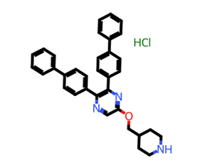 Cl.c1ccc(-c2ccc(-c3ncc(OCC4CCNCC4)nc3-c3ccc(-c4ccccc4)cc3)cc2)cc1